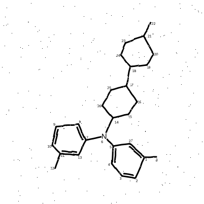 Cc1cccc(N(c2cccc(C)c2)C2CCC(C3CCC(C)CC3)CC2)c1